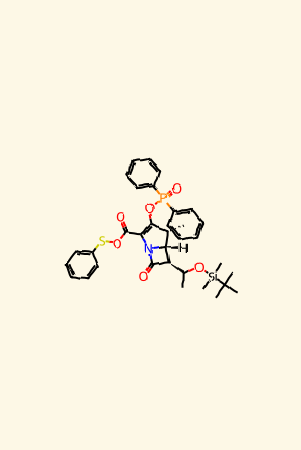 CC(O[Si](C)(C)C(C)(C)C)[C@H]1C(=O)N2C(C(=O)OSc3ccccc3)=C(OP(=O)(c3ccccc3)c3ccccc3)[C@H](C)[C@H]12